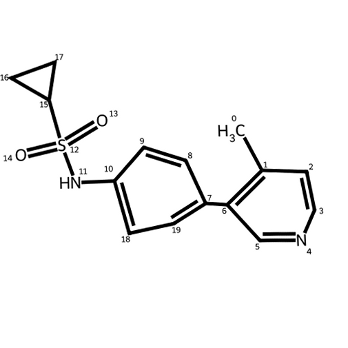 Cc1ccncc1-c1ccc(NS(=O)(=O)C2CC2)cc1